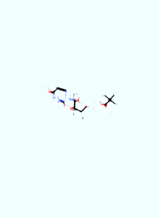 C[C@@H]1[C@@H](COC(=O)C(C)(C)C)O[C@H]2n3ccc(=O)nc3O[C@@]12C